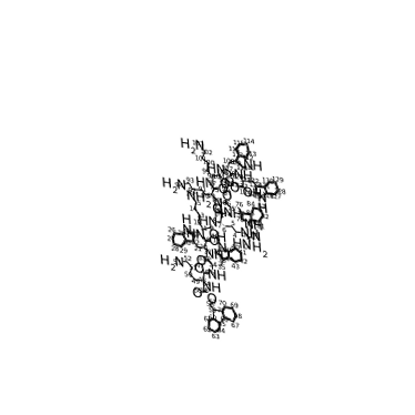 N=C(N)NCCC[C@H](NC(=O)[C@H](CCCCN)NC(=O)[C@H](Cc1c[nH]c2ccccc12)NC(=O)[C@H](Cc1c[nH]c2ccccc12)NC(=O)[C@H](CCCCN)NC(=O)OCC1c2ccccc2-c2ccccc21)C(=O)N[C@@H](Cc1c[nH]c2ccccc12)C(=O)N[C@@H](CCCCN)C(=O)N[C@@H](CCCCN)C(=O)N[C@@H](Cc1c[nH]c2ccccc12)C(=O)N[C@@H](Cc1c[nH]c2ccccc12)C(=O)O